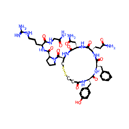 N=C(N)NCCCC(NC(=O)[C@@H]1CCCN1C(=O)[C@@H]1CSSCCC(=O)N[C@@H](Cc2ccc(O)cc2)C(=O)N[C@@H](Cc2ccccc2)C(=O)N[C@@H](CCC(N)=O)C(=O)N[C@@H](CC(N)=O)C(=O)N1)C(=O)NCC(N)=O